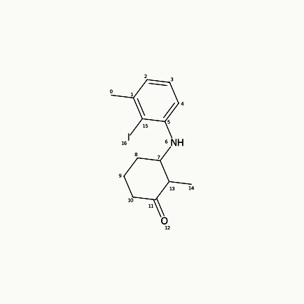 Cc1cccc(NC2CCCC(=O)C2C)c1I